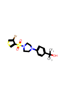 O=S(=O)(c1cscc1Br)N1CCN(c2ccc(C(O)(C(F)(F)F)C(F)(F)F)cc2)CC1